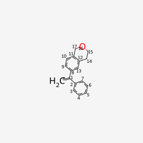 C=C(c1ccccc1)c1ccc2c(c1)CCOC2